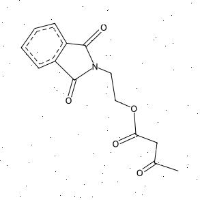 CC(=O)CC(=O)OCCN1C(=O)c2ccccc2C1=O